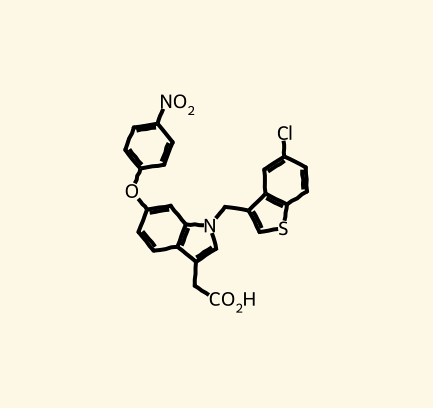 O=C(O)Cc1cn(Cc2csc3ccc(Cl)cc23)c2cc(Oc3ccc([N+](=O)[O-])cc3)ccc12